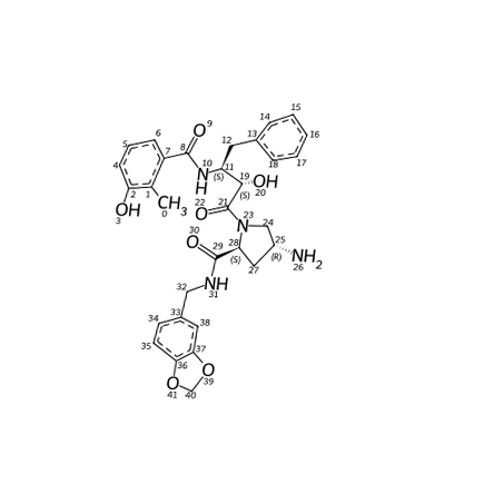 Cc1c(O)cccc1C(=O)N[C@@H](Cc1ccccc1)[C@H](O)C(=O)N1C[C@H](N)C[C@H]1C(=O)NCc1ccc2c(c1)OCO2